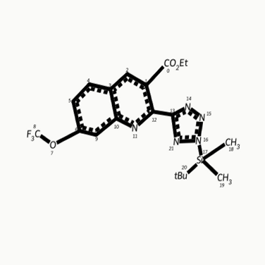 CCOC(=O)c1cc2ccc(OC(F)(F)F)cc2nc1-c1nnn([Si](C)(C)C(C)(C)C)n1